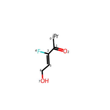 CC(C)C(=O)/C(F)=C/CO